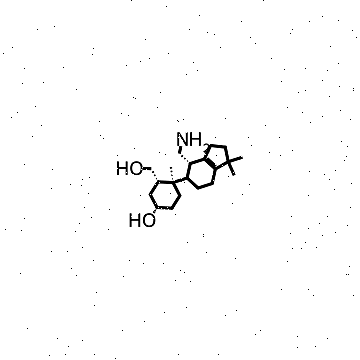 CC1(C)CCC2=C1CCC([C@@]1(C)CC[C@H](O)C[C@@H]1CO)[C@@H]2CN